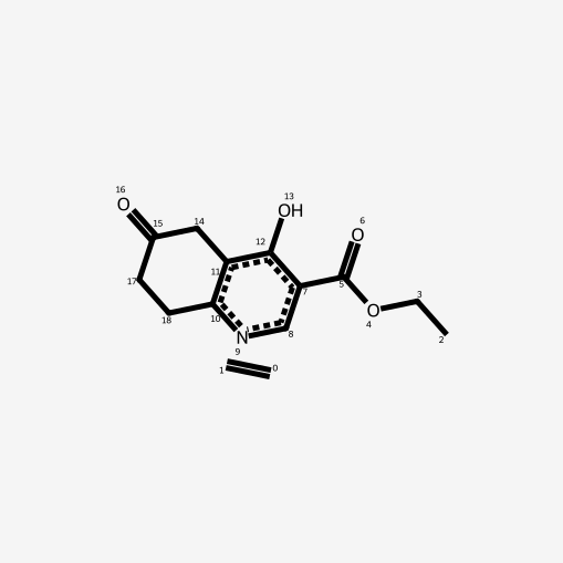 C=C.CCOC(=O)c1cnc2c(c1O)CC(=O)CC2